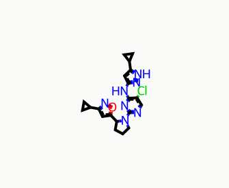 Clc1cnc(N2CCCC2c2cc(C3CC3)no2)nc1Nc1cc(C2CC2)[nH]n1